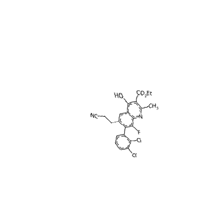 CCOC(=O)c1c(C)nc2c(F)c(-c3cccc(Cl)c3Cl)c(CCC#N)cc2c1O